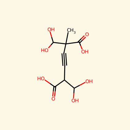 CC(C#CC(C(=O)O)C(O)O)(C(=O)O)C(O)O